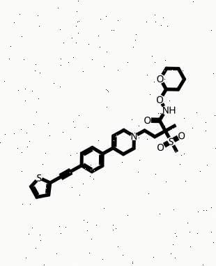 CC(CCN1CC=C(c2ccc(C#Cc3cccs3)cc2)CC1)(C(=O)NOC1CCCCO1)S(C)(=O)=O